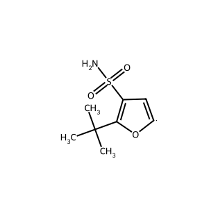 CC(C)(C)c1o[c]cc1S(N)(=O)=O